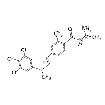 C[C@H](N)NC(=O)c1ccc(/C=C/C(c2cc(Cl)c(Cl)c(Cl)c2)C(F)(F)F)cc1C(F)(F)F